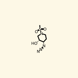 CS(=O)(=O)N1CC[C@H](N=[N+]=[N-])[C@H](O)C1